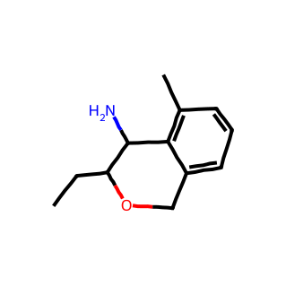 CCC1OCc2cccc(C)c2C1N